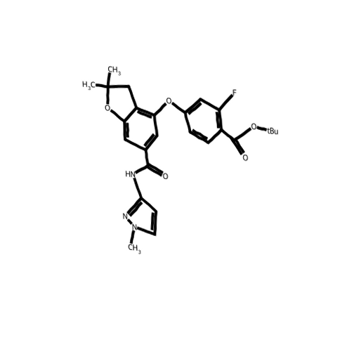 Cn1ccc(NC(=O)c2cc(Oc3ccc(C(=O)OC(C)(C)C)c(F)c3)c3c(c2)OC(C)(C)C3)n1